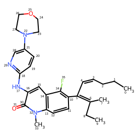 CCC/C=C\C(=C(/C)CC)c1ccc2c(cc(Nc3ccc(N4CCOCC4)cn3)c(=O)n2C)c1F